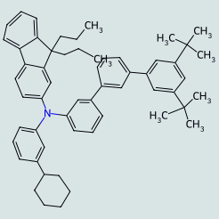 CCCC1(CCC)c2ccccc2-c2ccc(N(c3cccc(-c4cccc(-c5cc(C(C)(C)C)cc(C(C)(C)C)c5)c4)c3)c3cccc(C4CCCCC4)c3)cc21